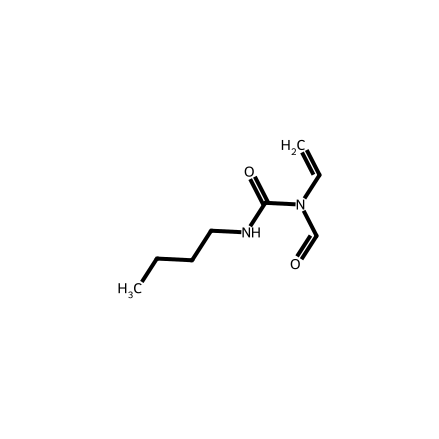 C=CN(C=O)C(=O)NCCCC